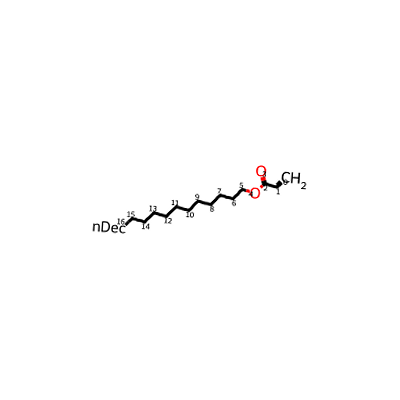 C=CC(=O)OCCCCCCCCCCCCCCCCCCCCC